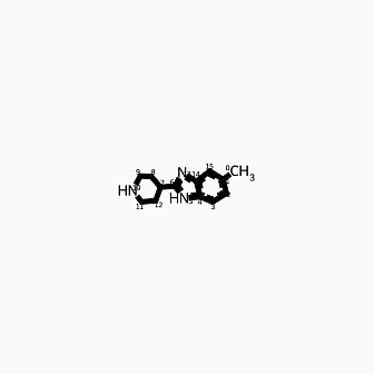 Cc1ccc2[nH]c(C3CCNCC3)nc2c1